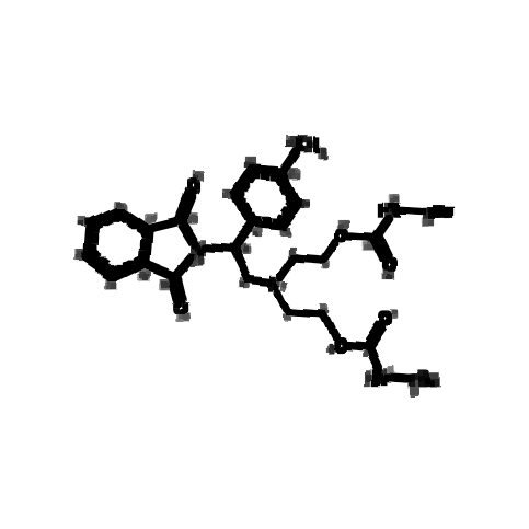 CCCCNC(=O)OCCN(CCOC(=O)NCCCC)CC(c1ccc(C)cc1)N1C(=O)c2ccccc2C1=O